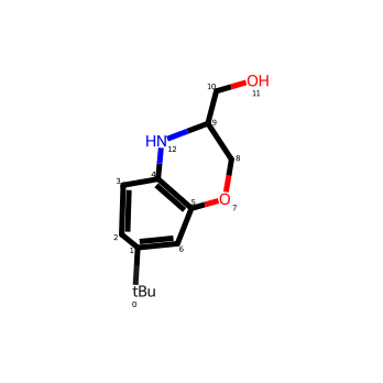 CC(C)(C)c1ccc2c(c1)OCC(CO)N2